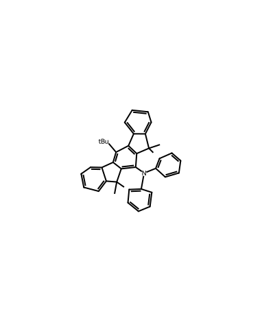 CC(C)(C)c1c2c(c(N(c3ccccc3)c3ccccc3)c3c1-c1ccccc1C3(C)C)C(C)(C)c1ccccc1-2